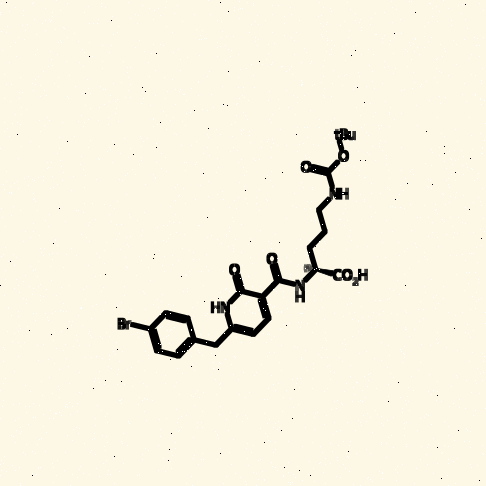 CC(C)(C)OC(=O)NCCC[C@H](NC(=O)c1ccc(Cc2ccc(Br)cc2)[nH]c1=O)C(=O)O